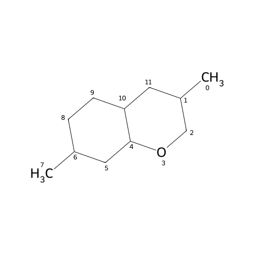 CC1COC2CC(C)CCC2C1